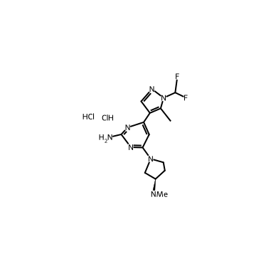 CN[C@@H]1CCN(c2cc(-c3cnn(C(F)F)c3C)nc(N)n2)C1.Cl.Cl